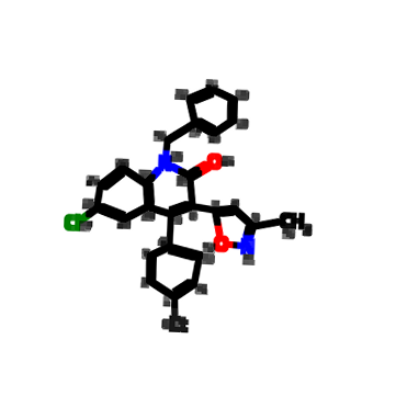 CCc1ccc(-c2c(-c3cc(C)no3)c(=O)n(Cc3ccccc3)c3ccc(Cl)cc23)cc1